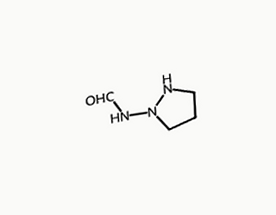 O=CNN1CCCN1